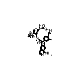 Cc1cc2ccc1[C@@H](C)COC(=O)Nc1ccc(S(=O)(=O)C(C)(C)C)c(c1)CN(C)C(=O)[C@@H]2Nc1ccc2c(N)nccc2c1